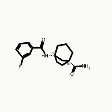 NC(=O)[C@]12CCC[C@](NC(=O)c3cccc(F)c3)(CC1)C2